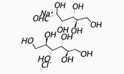 O=C[C@H](O)[C@@H](O)[C@H](O)[C@H](O)CO.OC[C@@H](O)[C@@H](O)[C@H](O)[C@H](O)CO.[Cl-].[Na+]